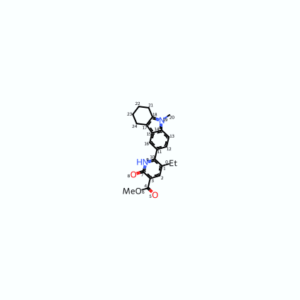 CCc1cc(C(=O)OC)c(=O)[nH]c1-c1ccc2c(c1)c1c(n2C)CCCC1